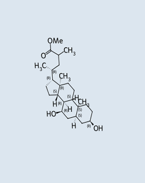 COC(=O)C(C)C[C@@H](C)[C@H]1CC[C@H]2[C@@H]3[C@H](O)C[C@@H]4C[C@H](O)CC[C@]4(C)[C@H]3CC[C@]12C